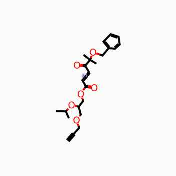 C#CCOCC(COC(=O)/C=C/C(=O)C(C)(C)OCc1ccccc1)OC(C)C